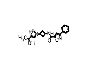 C[C@H](O)c1cn(C2CC(NC(=O)c3cc(-c4ccccc4)no3)C2)nn1